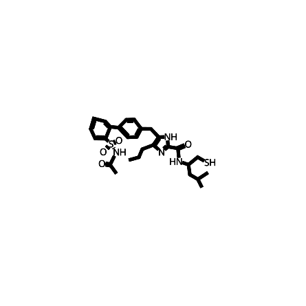 CCCc1nc(C(=O)NC(CS)CC(C)C)[nH]c1Cc1ccc(-c2ccccc2S(=O)(=O)NC(C)=O)cc1